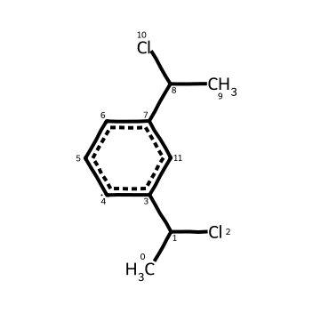 CC(Cl)c1[c]ccc(C(C)Cl)c1